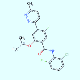 Cc1ccc(-c2cc(O[C@@H](C)C(F)(F)F)c(C(=O)Nc3c(F)cccc3Cl)cc2F)nn1